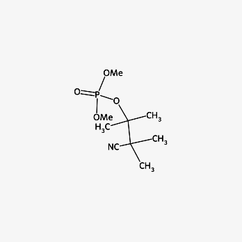 COP(=O)(OC)OC(C)(C)C(C)(C)C#N